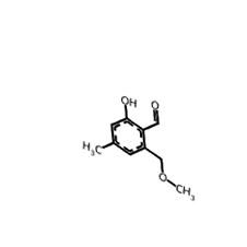 COCc1cc(C)cc(O)c1C=O